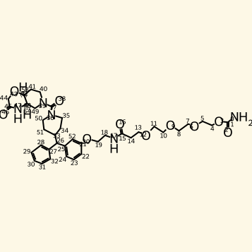 NC(=O)OCCOCCOCCOCCC(=O)NCCOc1cccc(C(c2ccccc2)C2CCN(C(=O)N3CC[C@@H]4OCC(=O)N[C@@H]4C3)CC2)c1